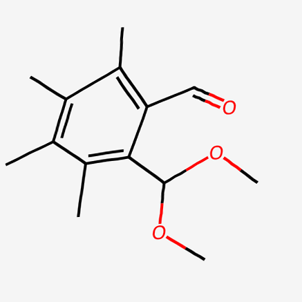 COC(OC)c1c(C)c(C)c(C)c(C)c1C=O